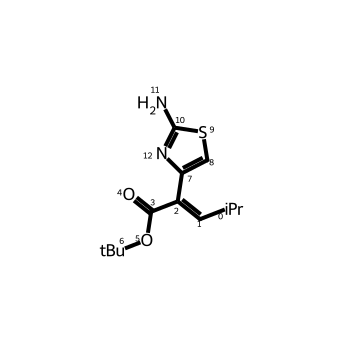 CC(C)/C=C(/C(=O)OC(C)(C)C)c1csc(N)n1